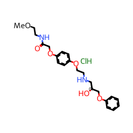 COCCNC(=O)COc1ccc(OCCNC[C@H](O)COc2ccccc2)cc1.Cl